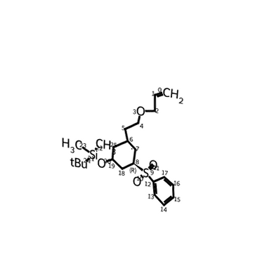 C=CCOCCC1[CH][C@@H](S(=O)(=O)c2ccccc2)CC(O[Si](C)(C)C(C)(C)C)C1